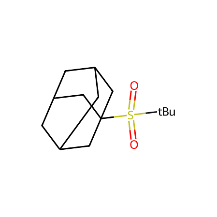 CC(C)(C)S(=O)(=O)C12CC3CC(CC(C3)C1)C2